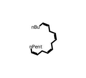 [CH2]CCC/C=C\C/C=C\C/C=C\C/C=C\CCCCC